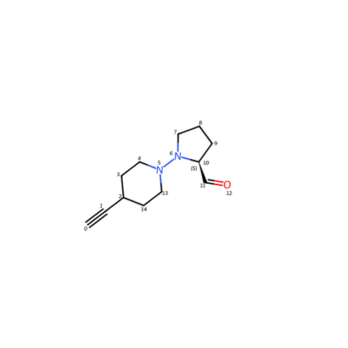 C#CC1CCN(N2CCC[C@H]2C=O)CC1